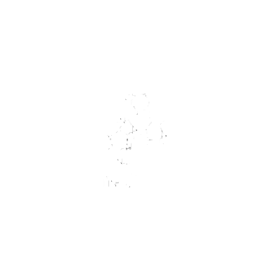 Fc1ccc(-c2nc3ccc(N4CCCNCC4)nc3n2-c2ccncc2)c(F)c1